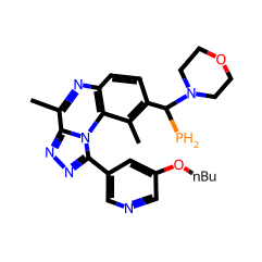 CCCCOc1cncc(-c2nnc3c(C)nc4ccc(C(P)N5CCOCC5)c(C)c4n23)c1